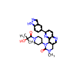 CN1Cc2cnc3ccc(-c4ccc5[nH]ncc5c4)nc3c2N(C2CCN(C(=O)C(C)(C)O)CC2)C1=O